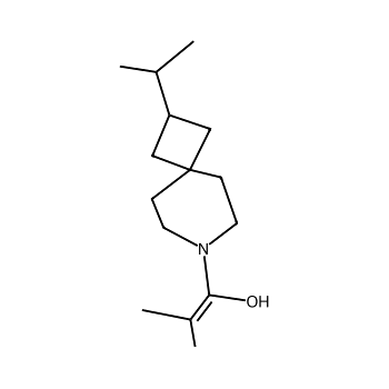 CC(C)=C(O)N1CCC2(CC1)CC(C(C)C)C2